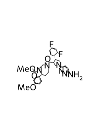 COC(=O)N1CCN(C(=O)C2CN(c3ccc(N)nn3)C[C@H]2C2C=CC(F)=CC2F)CCC[C@H]1c1ccc(OC)cc1